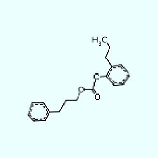 CCCc1ccccc1OC(=O)OCCCc1ccccc1